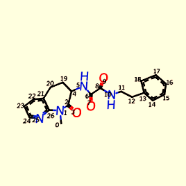 CN1C(=O)C(NC(=O)C(=O)NCCc2ccccc2)CCc2cccnc21